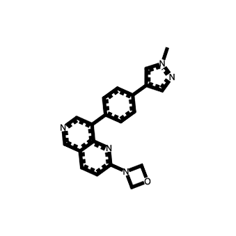 Cn1cc(-c2ccc(-c3cncc4ccc(N5COC5)nc34)cc2)cn1